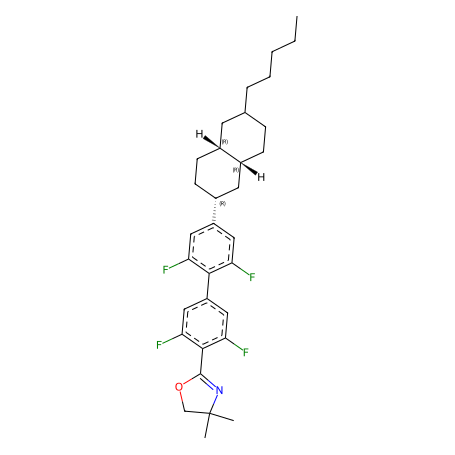 CCCCCC1CC[C@@H]2C[C@H](c3cc(F)c(-c4cc(F)c(C5=NC(C)(C)CO5)c(F)c4)c(F)c3)CC[C@@H]2C1